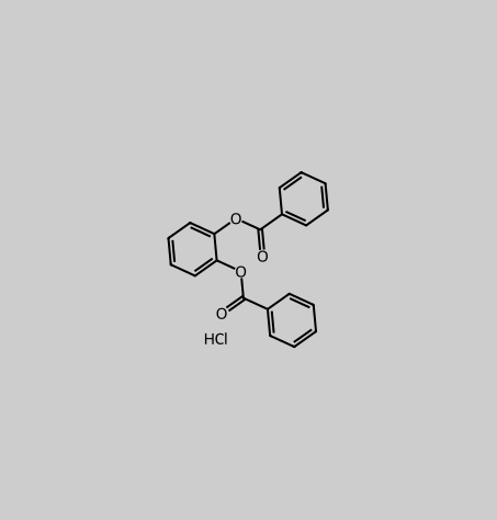 Cl.O=C(Oc1ccccc1OC(=O)c1ccccc1)c1ccccc1